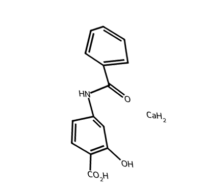 O=C(Nc1ccc(C(=O)O)c(O)c1)c1ccccc1.[CaH2]